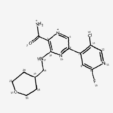 NC(=O)c1ncc(-c2cc(F)ncc2Cl)nc1NCC1CCOCC1